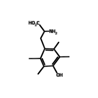 Cc1c(C)c(CC(N)C(=O)O)c(C)c(C)c1O